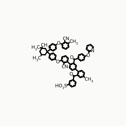 Cc1ccc(-c2ccc(-c3cccc(Oc4ccc(C5(c6ccc(Oc7cccc(C)c7C#N)cc6)CC(C)CC(C)(C)C5)cc4)c3C#N)c(C(=O)c3ccc(Oc4ccccn4)cc3)c2)c(C(=O)c2cccc(S(=O)(=O)O)c2)c1